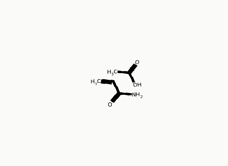 C=CC(N)=O.CC(=O)O